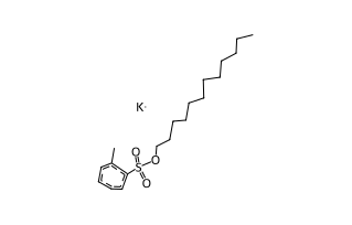 CCCCCCCCCCCCOS(=O)(=O)c1ccccc1C.[K]